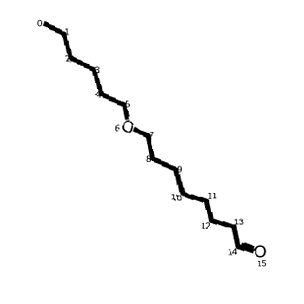 CCCCCCOCCCCCCCC=O